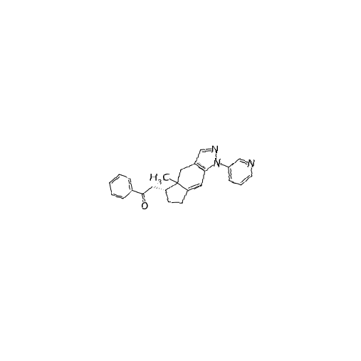 CC12Cc3cnn(-c4cccnc4)c3C=C1CC[C@@H]2CC(=O)c1ccccc1